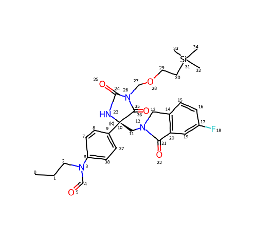 CCCN(C=O)c1ccc([C@]2(CN3Cc4ccc(F)cc4C3=O)NC(=O)N(COCC[Si](C)(C)C)C2=O)cc1